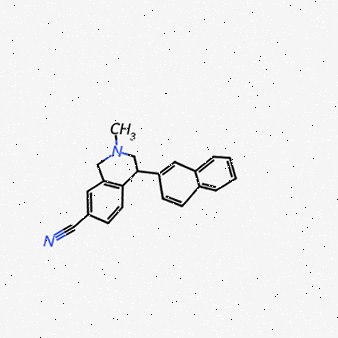 CN1Cc2cc(C#N)ccc2C(c2ccc3ccccc3c2)C1